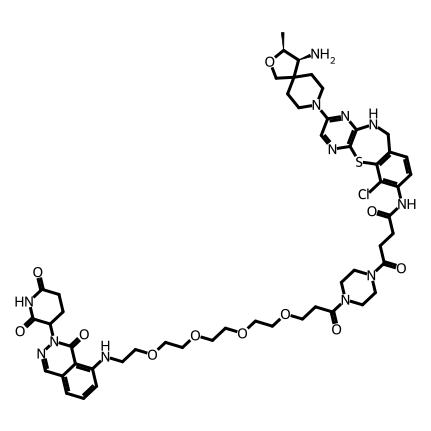 C[C@@H]1OCC2(CCN(c3cnc4c(n3)NCc3ccc(NC(=O)CCC(=O)N5CCN(C(=O)CCOCCOCCOCCOCCNc6cccc7cnn(C8CCC(=O)NC8=O)c(=O)c67)CC5)c(Cl)c3S4)CC2)[C@@H]1N